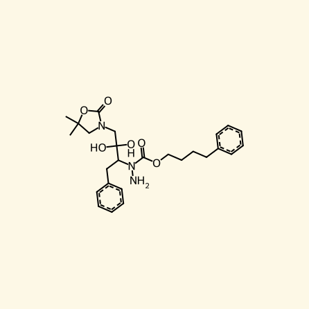 CC1(C)CN(CC(O)(O)C(Cc2ccccc2)N(N)C(=O)OCCCCc2ccccc2)C(=O)O1